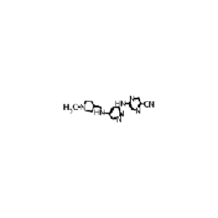 CN1CCC(CNc2cnnc(Nc3cnc(C#N)cn3)c2)CC1